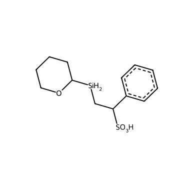 O=S(=O)(O)C(C[SiH2]C1CCCCO1)c1ccccc1